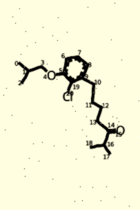 CC(C)COc1cccc(CCCCC(=O)C(C)C)c1Cl